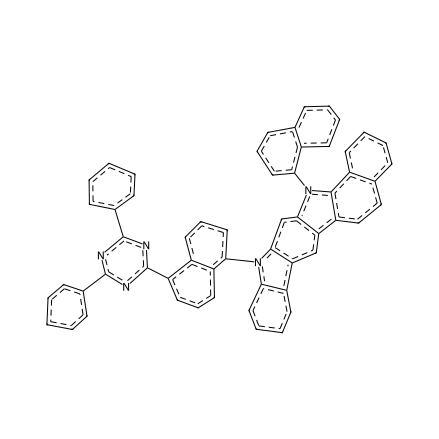 c1ccc(-c2nc(-c3ccccc3)nc(-c3cccc4c(-n5c6ccccc6c6cc7c8ccc9ccccc9c8n(-c8cccc9ccccc89)c7cc65)cccc34)n2)cc1